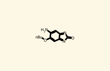 CCCCOc1cc2c(cc1N)=NC(=O)N=2